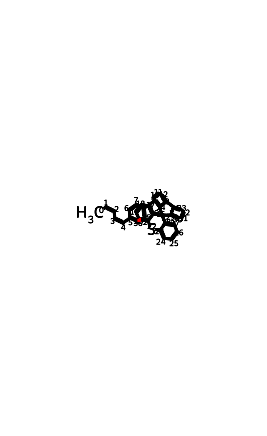 C/C=C\C=C/c1ccc(-c2cccc3c2C2(c4ccccc4Sc4ccccc42)c2ccccc2-3)cc1